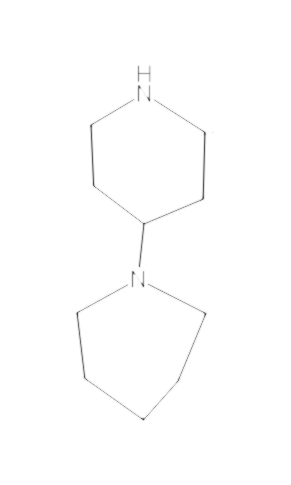 [CH]1CC(N2CCCCC2)CCN1